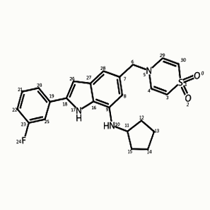 O=S1(=O)C=CN(Cc2cc(NC3CCCC3)c3[nH]c(-c4cccc(F)c4)cc3c2)C=C1